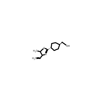 C=CC1N=C([C@H]2CC[C@H](CO)CC2)SC1C